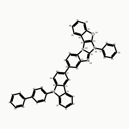 c1ccc(-c2ccc(-n3c4ccccc4c4cc(-c5ccc6c(c5)nc5n(-c7ccccc7)c7oc8ccccc8c7n65)ccc43)cc2)cc1